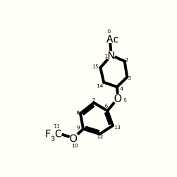 [CH2]C(=O)N1CCC(Oc2ccc(OC(F)(F)F)cc2)CC1